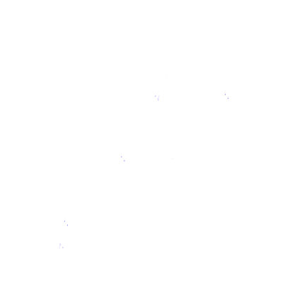 Cc1cc(-c2ccnn2C)c2cccc(OCc3c(Cl)cncc3CN(CCCO)C(=O)C(C)C)c2n1